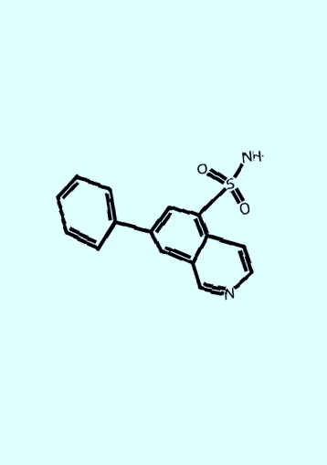 [NH]S(=O)(=O)c1cc(-c2ccccc2)cc2cnccc12